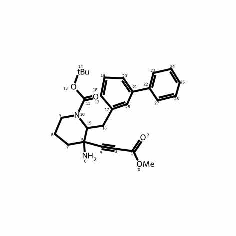 COC(=O)C#CC1(N)CCCN(C(=O)OC(C)(C)C)C1Cc1cccc(-c2ccccc2)c1